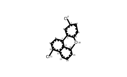 Clc1ccc2c(c1)-c1ccc(Cl)c3cccc(c13)O2